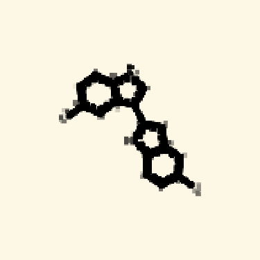 Clc1ccc2[nH]c(-c3c[nH]c4ccc(Cl)cc34)cc2c1